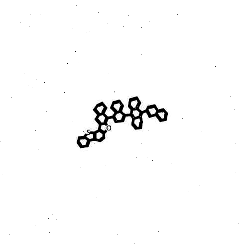 c1ccc2cc(-c3c4ccccc4c(-c4ccc(-c5c6ccccc6cc6c5oc5ccc7c8ccccc8sc7c56)c5ccccc45)c4ccccc34)ccc2c1